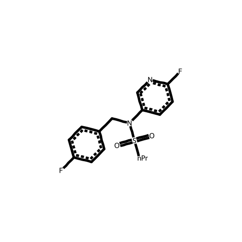 CCCS(=O)(=O)N(Cc1ccc(F)cc1)c1ccc(F)nc1